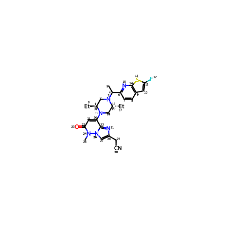 CC[C@H]1CN(C(C)c2ccc3cc(F)sc3n2)[C@H](CC)CN1c1cc(=O)n(C)n2cc(CC#N)nc12